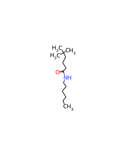 CCCCCCNC(=O)CCCC(C)(C)C